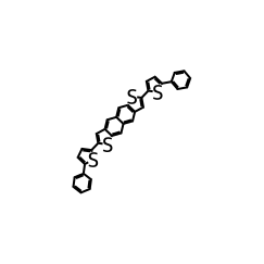 c1ccc(-c2ccc(-c3cc4cc5cc6sc(-c7ccc(-c8ccccc8)s7)cc6cc5cc4s3)s2)cc1